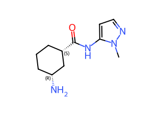 Cn1nccc1NC(=O)[C@H]1CCC[C@@H](N)C1